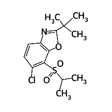 CC(C)S(=O)(=O)c1c(Cl)ccc2nc(C(C)(C)C)oc12